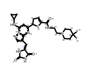 O=C1NC(=O)/C(=C/c2cnn3c(NC4CC4)cc(C4CC=C(C(=O)NCCN5CCC(F)(F)CC5)S4)nc23)N1